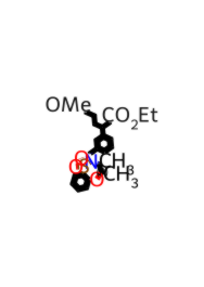 CCOC(=O)CC(CCCOC)c1ccc(C)c(CN2C[C@@H](C)Oc3ccccc3S2(=O)=O)c1